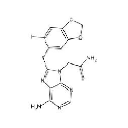 NC(=O)Cn1c(Sc2cc3c(cc2I)OCO3)nc2c(N)ncnc21